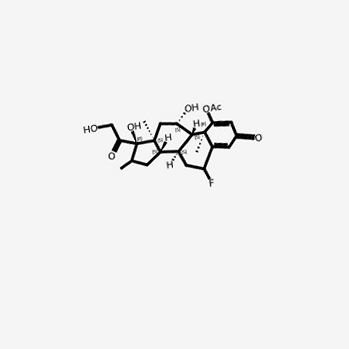 CC(=O)OC1=CC(=O)C=C2C(F)C[C@@H]3[C@H]([C@@H](O)C[C@@]4(C)[C@H]3CC(C)[C@]4(O)C(=O)CO)[C@@]12C